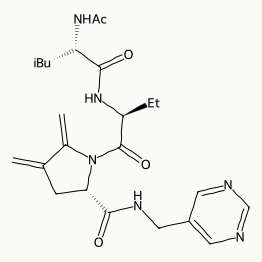 C=C1C[C@@H](C(=O)NCc2cncnc2)N(C(=O)[C@H](CC)NC(=O)[C@@H](NC(C)=O)[C@@H](C)CC)C1=C